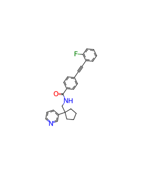 O=C(NCC1(c2cccnc2)CCCC1)c1ccc(C#Cc2ccccc2F)cc1